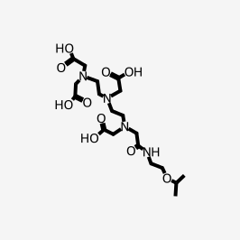 CC(C)OCCNC(=O)CN(CCN(CCN(CC(=O)O)CC(=O)O)CC(=O)O)CC(=O)O